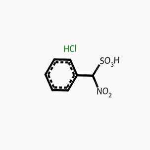 Cl.O=[N+]([O-])C(c1ccccc1)S(=O)(=O)O